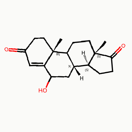 C[C@]12CCC(=O)C=C1C(O)C[C@@H]1C2CC[C@]2(C)C(=O)CC[C@@H]12